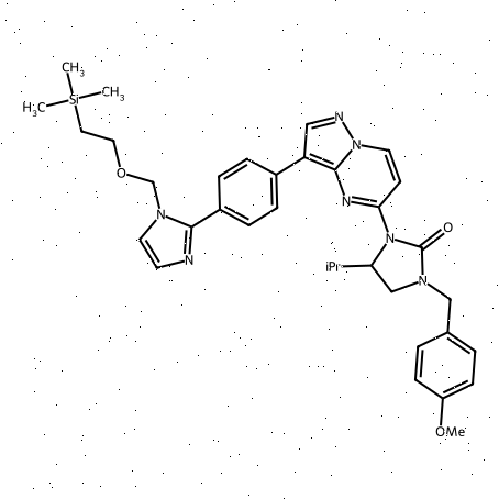 COc1ccc(CN2CC(C(C)C)N(c3ccn4ncc(-c5ccc(-c6nccn6COCC[Si](C)(C)C)cc5)c4n3)C2=O)cc1